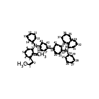 C/C=C\c1cccc(N(c2ccccc2)c2ccc(-c3ccc(N(c4ccccc4)c4cccc5ccccc45)cc3)cc2)c1C